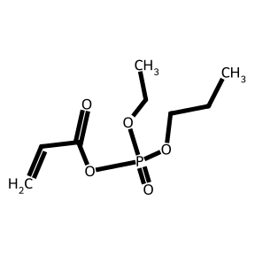 C=CC(=O)OP(=O)(OCC)OCCC